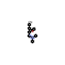 N#Cc1ccc(-c2ccc3c4ccc(-c5cccc(-c6nc(-c7ccccc7)nc(-c7ccccc7)n6)n5)cc4c4oc5ccccc5c4c3c2)cc1